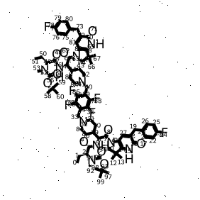 CC[C@@H](C(=O)N[C@H](C(=O)N1CC(C)(C)c2[nH]c(=O)c(Cc3ccc(F)cc3)cc21)C1CCN(Cc2c(F)c(F)c(CN3CCC([C@H](NC(=O)[C@H](CC)N(C)C(=O)OC(C)(C)C)C(=O)N4CC(C)(C)c5[nH]c(=O)c(Cc6ccc(F)cc6)cc54)CC3)c(F)c2F)CC1)N(C)C(=O)OC(C)(C)C